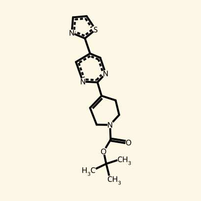 CC(C)(C)OC(=O)N1CC=C(c2ncc(-c3nccs3)cn2)CC1